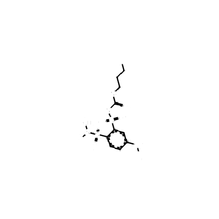 CCCCNC(=O)NS(=O)(=O)c1cc(OC)ccc1S(=O)(=O)N(C)C